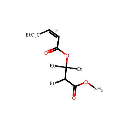 CCOC(=O)/C=C\C(=O)OC(CC)(CC)C(CC)C(=O)O[SiH3]